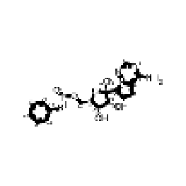 N#C[C@@]1(c2ccc3c(N)ncnn23)O[C@H](CO[PH](=O)Oc2ccccc2)[C@@H](O)[C@H]1O